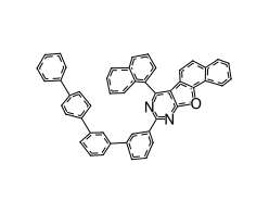 c1ccc(-c2ccc(-c3cccc(-c4cccc(-c5nc(-c6cccc7ccccc67)c6c(n5)oc5c7ccccc7ccc56)c4)c3)cc2)cc1